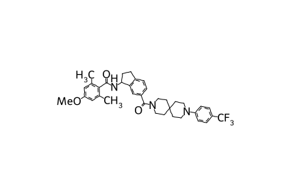 COc1cc(C)c(C(=O)NC2CCc3ccc(C(=O)N4CCC5(CC4)CCN(c4ccc(C(F)(F)F)cc4)CC5)cc32)c(C)c1